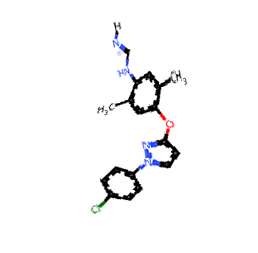 [H]/N=C/Nc1cc(C)c(Oc2ccn(-c3ccc(Cl)cc3)n2)cc1C